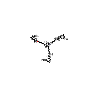 CCCCOCC(CN1CC1C)OC(=O)NCCCCCC/N=c1\oc(=O)n(CCCCCCNC(=O)OC(COCCCC)CN2CC2C)c(=O)n1CCCCCCNC(=O)OC(COCCCC)CN1CC1C